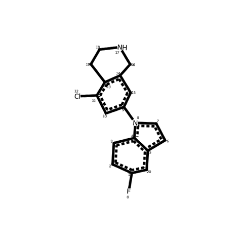 Fc1ccc2c(ccn2-c2cc(Cl)c3c(c2)CNCC3)c1